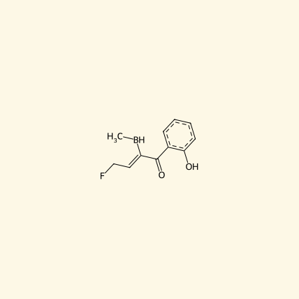 CB/C(=C\CF)C(=O)c1ccccc1O